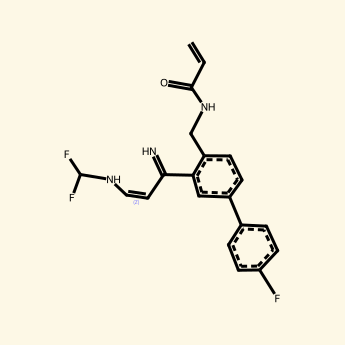 C=CC(=O)NCc1ccc(-c2ccc(F)cc2)cc1C(=N)/C=C\NC(F)F